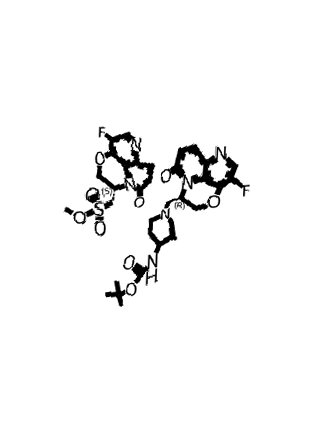 CC(C)(C)OC(=O)NC1CCN(C[C@@H]2COc3c(F)cnc4ccc(=O)n2c34)CC1.COS(=O)(=O)C[C@@H]1COc2c(F)cnc3ccc(=O)n1c23